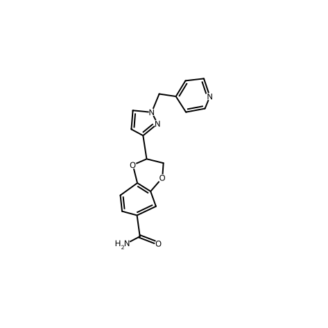 NC(=O)c1ccc2c(c1)OCC(c1ccn(Cc3ccncc3)n1)O2